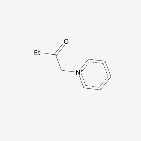 CCC(=O)C[n+]1ccccc1